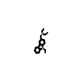 CCN(CC)Cc1ccc2c(c1)c1ccccc1n2CC